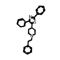 C1=CC(c2nc(-c3ccccc3)sc2C2CCN(CCc3ccccc3)CC2)=CCC1